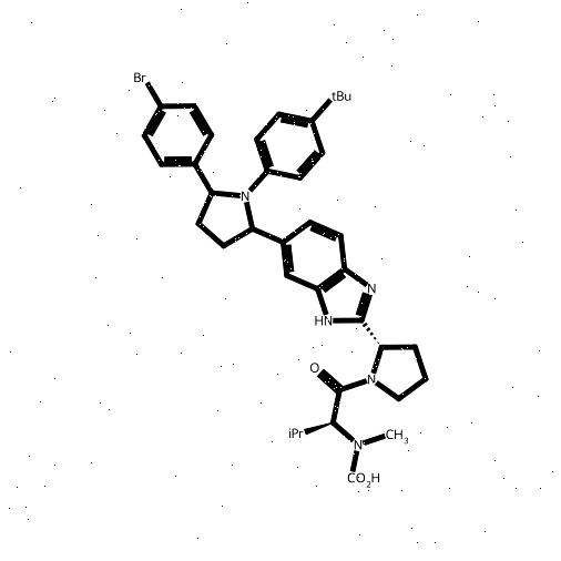 CC(C)[C@@H](C(=O)N1CCC[C@H]1c1nc2ccc(C3CCC(c4ccc(Br)cc4)N3c3ccc(C(C)(C)C)cc3)cc2[nH]1)N(C)C(=O)O